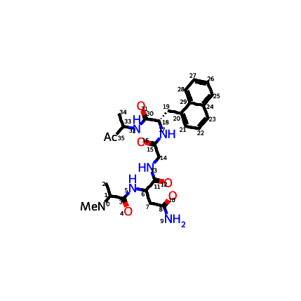 CNC(C)C(=O)NC(CC(N)=O)C(=O)NCC(=O)N[C@@H](Cc1cccc2ccccc12)C(=O)NC(C)C(C)=O